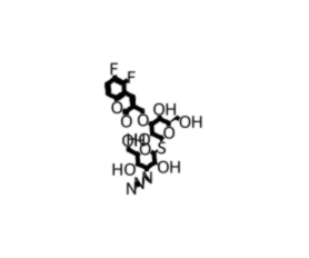 [N-]=[N+]=NC1[C@@H](O)C(CO)O[C@@H](S[C@@H]2O[C@H](CO)C(O)C(OCc3cc4c(F)c(F)ccc4oc3=O)[C@H]2O)[C@H]1O